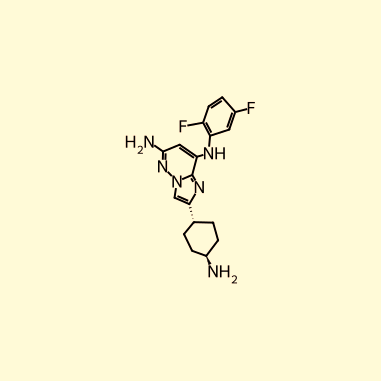 Nc1cc(Nc2cc(F)ccc2F)c2nc([C@H]3CC[C@H](N)CC3)cn2n1